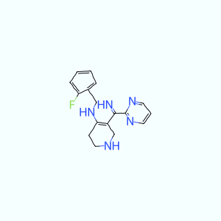 N=C(C1=C(NCc2ccccc2F)CCNC1)c1ncccn1